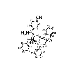 N#Cc1ccc(C(N)NN(Cc2ccccc2)Nc2cc3c(cc2-c2ccccc2)sc2ccccc23)cc1